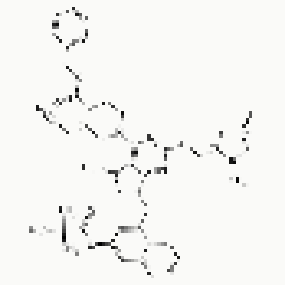 CN1C[C@H](F)C[C@H]1COc1nc(N2CCN(C(=O)OCc3ccccc3)[C@@H](CC#N)C2)c2c(n1)c(Cc1cc(OC(=O)C(C)(C)C)cc3ccccc13)cn2C